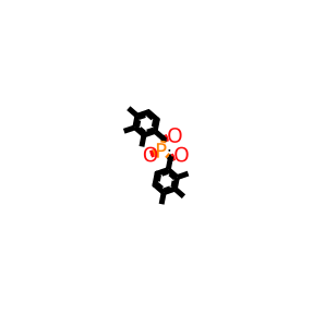 Cc1ccc(C(=O)[P](=O)C(=O)c2ccc(C)c(C)c2C)c(C)c1C